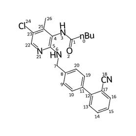 CCCCC(=O)Nc1c(NCc2ccc(-c3ccccc3C#N)cc2)ncc(Cl)c1C